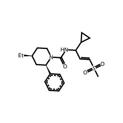 CC[C@H]1CCN(C(=O)NC(/C=C/S(C)(=O)=O)C2CC2)[C@@H](c2ccccc2)C1